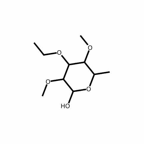 CCOC1C(OC)C(C)OC(O)C1OC